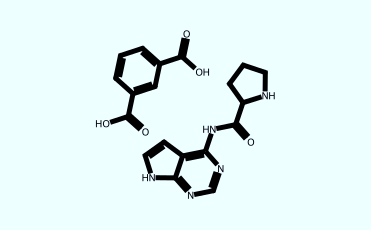 O=C(Nc1ncnc2[nH]ccc12)C1CCCN1.O=C(O)c1cccc(C(=O)O)c1